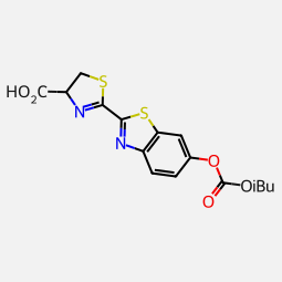 CC(C)COC(=O)Oc1ccc2nc(C3=NC(C(=O)O)CS3)sc2c1